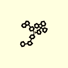 c1ccc(-c2cccc(-c3ccc(N(c4ccc(-c5cccc6ccccc56)cc4)c4cccc(C5(c6ccccc6)c6ccccc6-c6ccccc65)c4)cc3)c2)cc1